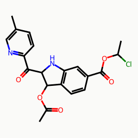 CC(=O)OC1c2ccc(C(=O)OC(C)Cl)cc2NC1C(=O)c1ccc(C)cn1